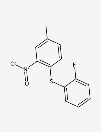 Cc1ccc(Sc2ccccc2F)c([N+](=O)[O-])c1